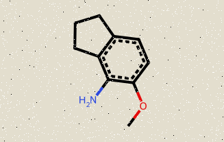 COc1ccc2c(c1N)CCC2